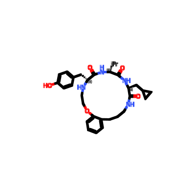 CC(C)[C@H]1NC(=O)[C@@H](Cc2ccc(O)cc2)NCCOc2ccccc2CCCNC(=O)[C@H](CC2CC2)NC1=O